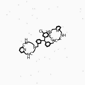 Clc1cccc(C(c2cccc(CN3CCCNCc4cccc(n4)CNCCC3)c2)c2cccc(CN3CCCNCc4cccc(n4)CNCCC3)c2)c1